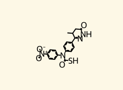 CC1CC(=O)NN=C1c1ccc(N(C(=O)S)c2ccc([N+](=O)[O-])cc2)cc1